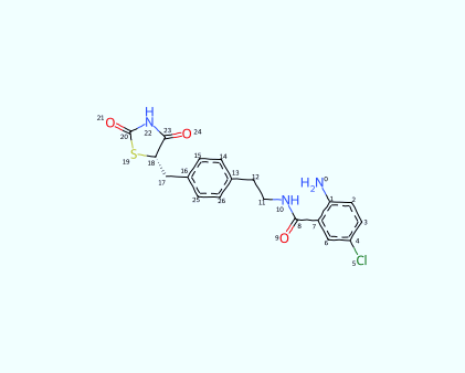 Nc1ccc(Cl)cc1C(=O)NCCc1ccc(C[C@@H]2SC(=O)NC2=O)cc1